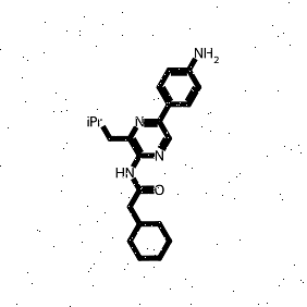 CC(C)Cc1nc(-c2ccc(N)cc2)cnc1NC(=O)CC1CCCCC1